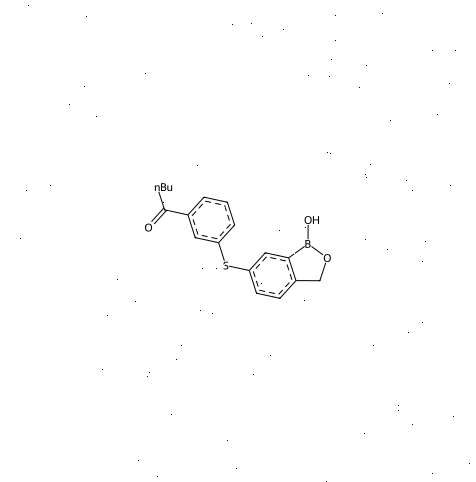 CCCCC(=O)c1cccc(Sc2ccc3c(c2)B(O)OC3)c1